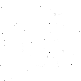 CC(=O)Nc1ccc(N=C2SCC(=O)N2Cc2ccco2)cc1